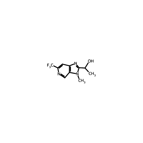 CC(O)c1nc2cc(C(F)(F)F)ncc2n1C